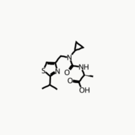 CC(C)c1nc(CN(C(=O)N[C@@H](C)C(=O)O)C2CC2)cs1